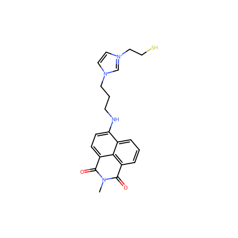 CN1C(=O)c2cccc3c(NCCCn4cc[n+](CCS)c4)ccc(c23)C1=O